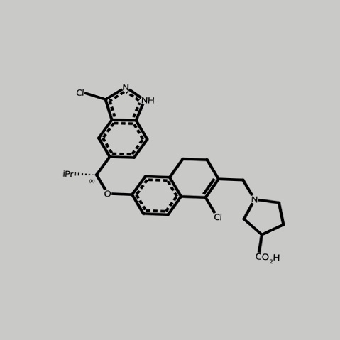 CC(C)[C@@H](Oc1ccc2c(c1)CCC(CN1CCC(C(=O)O)C1)=C2Cl)c1ccc2[nH]nc(Cl)c2c1